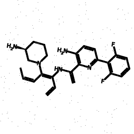 C=C/C(NC(=C)c1nc(-c2c(F)cccc2F)ccc1N)=C(\C=C/C)N1CCC[C@H](N)C1